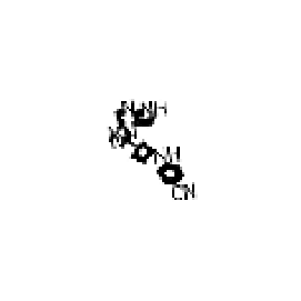 N#Cc1ccc(N[C@H]2CC[C@@H](c3nnc4cnc5[nH]ccc5n34)C2)cc1